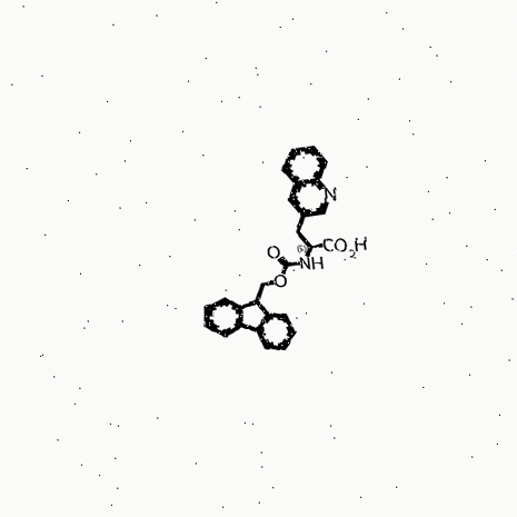 O=C(N[C@@H](Cc1cnc2ccccc2c1)C(=O)O)OCC1c2ccccc2-c2ccccc21